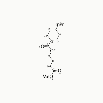 CCCC1CCC(C(=O)OCCCC(=O)OC)CC1